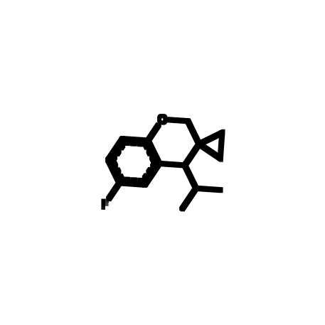 CC(C)C1c2cc(F)ccc2OCC12CC2